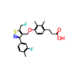 Cc1ccc(-c2nsc(CF)c2COc2ccc(CCC(=O)O)c(C)c2C)cc1F